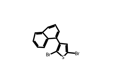 Brc1cc(-c2cccc3ccccc23)c(Br)s1